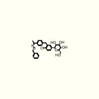 CC(=NOCc1ccccc1)c1ccc(Cc2cc([C@@H]3O[C@H](CO)[C@@H](O)[C@H](O)[C@H]3O)ccc2Cl)cc1